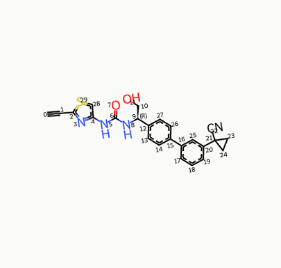 C#Cc1nc(NC(=O)N[C@@H](CO)c2ccc(-c3cccc(C4(C#N)CC4)c3)cc2)cs1